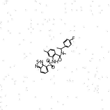 Cc1ccc(C(=O)N(C)C(C)c2ccc(F)cc2)c(NS(=O)(=O)c2cccc3nsnc23)c1